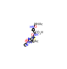 CC[C@H](C)[C@H](NC(=O)[C@H]1CCCCN1C)C(=O)N(C)[C@H](C[C@@H](OC(C)=O)c1nc(C(=O)N[C@@H](Cc2ccc(NC(=O)CNC(C)=O)cc2)C(=O)O)cs1)C(C)C